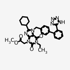 CCn1c(=O)c2c(nc(C3CCCCC3)n2Cc2ccc(-c3ccccc3-c3nnn[nH]3)cc2)n(CC(=O)OC)c1=O